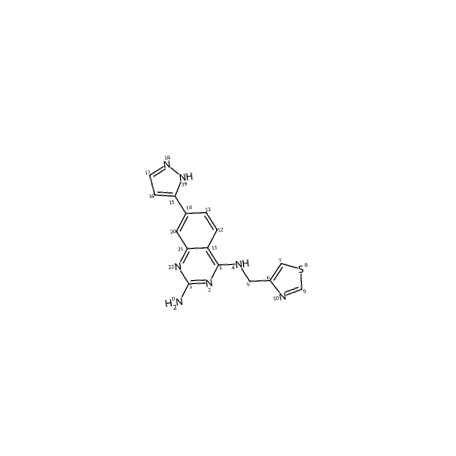 Nc1nc(NCc2cscn2)c2ccc(-c3ccn[nH]3)cc2n1